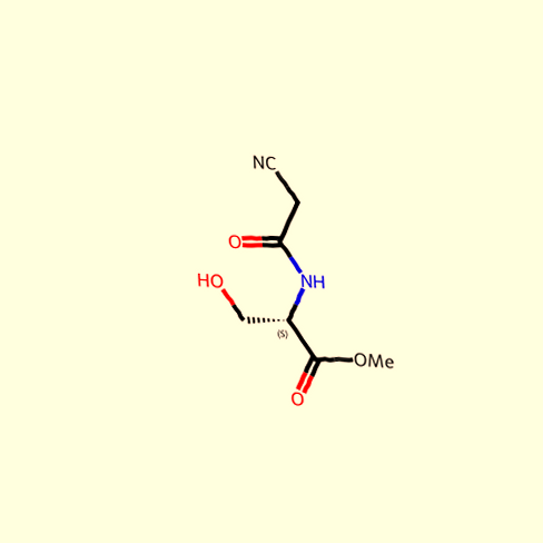 COC(=O)[C@H](CO)NC(=O)CC#N